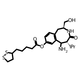 CC(C)[C@H]1C(=O)N[C@H](CO)Cc2ccc(OC(=O)CCCCC3CCSS3)cc2C1N